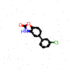 O=c1[nH]c2cc(-c3cccc(Cl)c3)ccc2o1